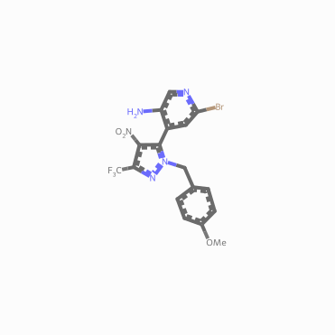 COc1ccc(Cn2nc(C(F)(F)F)c([N+](=O)[O-])c2-c2cc(Br)ncc2N)cc1